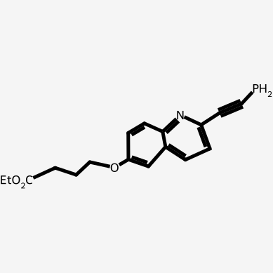 CCOC(=O)CCCOc1ccc2nc(C#CP)ccc2c1